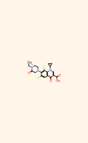 CCN1CCN(c2c(F)cc3c(=O)c(C(=O)O)cn(C4CC4)c3c2F)CC1=O